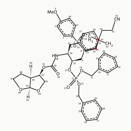 COc1ccc(S(=O)(=O)N(C[C@@H](OP(=O)(OCc2ccccc2)OCc2ccccc2)[C@H](Cc2ccccc2)NC(=O)O[C@H]2CO[C@H]3OCC[C@H]32)CC(C)(C)CCC#N)cc1